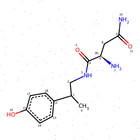 CC(CNC(=O)[C@H](N)CC(N)=O)c1ccc(O)cc1